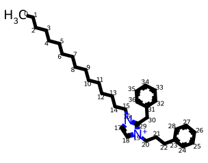 CCCCCCCCCCCCCCCCn1cc[n+](CCCc2ccccc2)c1Cc1ccccc1